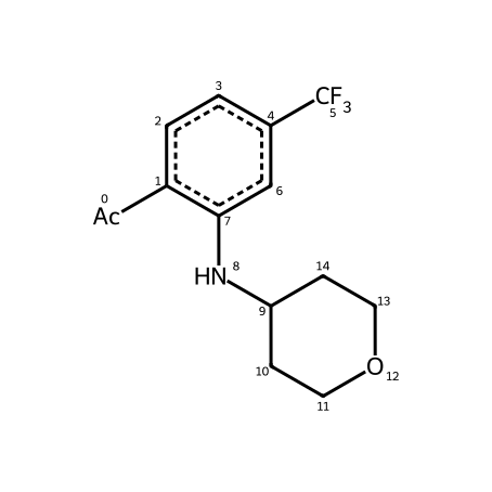 CC(=O)c1ccc(C(F)(F)F)cc1NC1CCOCC1